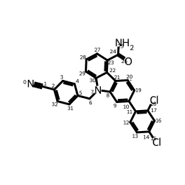 N#Cc1ccc(Cn2c3cc(-c4ccc(Cl)cc4Cl)c[c]c3c3c(C(N)=O)cccc32)cc1